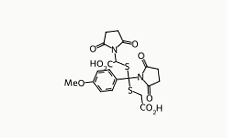 COc1ccc(C(SCC(=O)O)(SC(C(=O)O)N2C(=O)CCC2=O)N2C(=O)CCC2=O)cc1